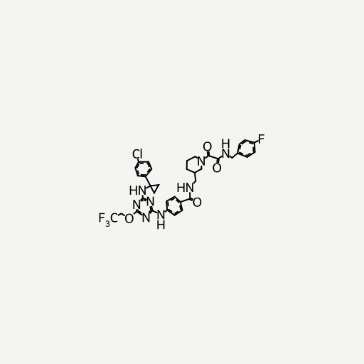 O=C(NCc1ccc(F)cc1)C(=O)N1CCCC(CNC(=O)c2ccc(Nc3nc(NC4(c5ccc(Cl)cc5)CC4)nc(OCC(F)(F)F)n3)cc2)C1